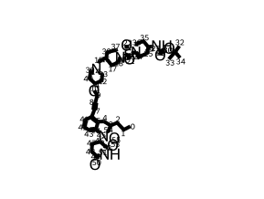 CCCC1Cc2c(C#CCOC3CCN(CC4CCN(S(=O)(=O)N5CCC(NC(=O)OC(C)(C)C)CC5)CC4)CC3)cccc2N(C2CCC(=O)NC2=O)C1=O